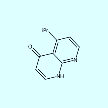 CC(C)c1ccnc2[nH]ccc(=O)c12